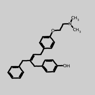 CN(C)CCOc1ccc(CC=C(Cc2ccccc2)Cc2ccc(O)cc2)cc1